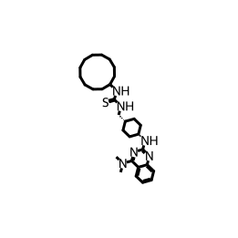 CN(C)c1nc(N[C@H]2CC[C@@H](CNC(=S)NC3CCCCCCCCCCC3)CC2)nc2ccccc12